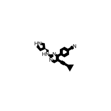 N#Cc1ccc(-c2nc(NC[C@H]3CCNC3)ncc2C#CC2CC2)cc1